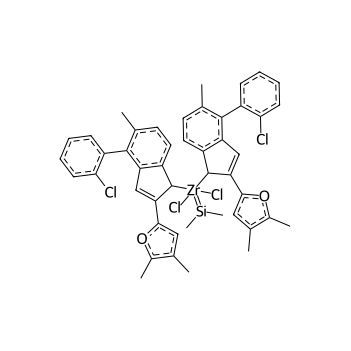 Cc1cc(C2=Cc3c(ccc(C)c3-c3ccccc3Cl)[CH]2[Zr]([Cl])([Cl])([CH]2C(c3cc(C)c(C)o3)=Cc3c2ccc(C)c3-c2ccccc2Cl)=[Si](C)C)oc1C